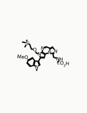 COc1ccc2c(c1)c(-c1cc3c(ncc4cnc(CNC(=O)O)n43)n1COCC[Si](C)(C)C)cn2C